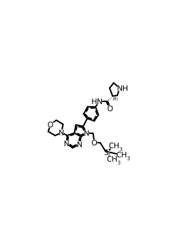 C[Si](C)(C)CCOCn1c(-c2ccc(NC(=O)[C@@H]3CCNC3)cc2)cc2c(N3CCOCC3)ncnc21